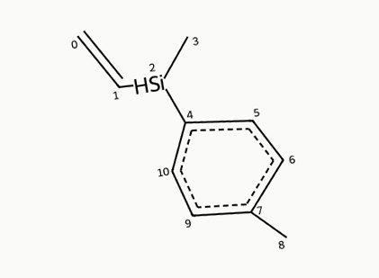 C=C[SiH](C)c1ccc(C)cc1